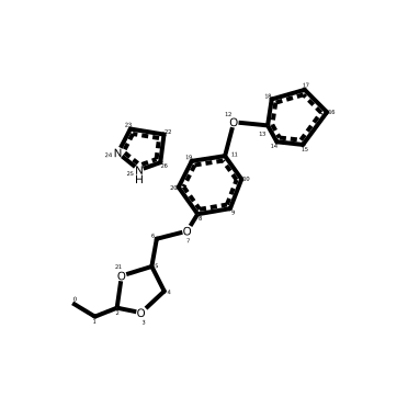 CCC1OCC(COc2ccc(Oc3ccccc3)cc2)O1.c1cn[nH]c1